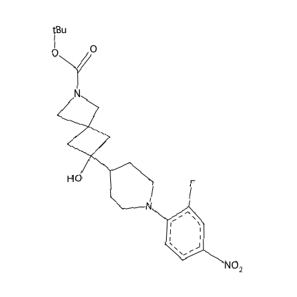 CC(C)(C)OC(=O)N1CC2(C1)CC(O)(C1CCN(c3ccc([N+](=O)[O-])cc3F)CC1)C2